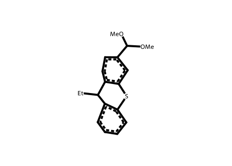 CCC1c2ccccc2Sc2cc(C(OC)OC)ccc21